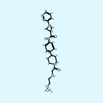 COCCOCC(=O)N1CCC(c2ccc(NC(=O)C3CN(c4cccnn4)C3)cc2)CC1